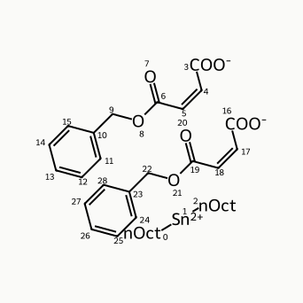 CCCCCCC[CH2][Sn+2][CH2]CCCCCCC.O=C([O-])/C=C\C(=O)OCc1ccccc1.O=C([O-])/C=C\C(=O)OCc1ccccc1